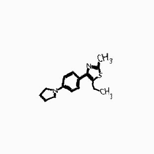 CCc1sc(C)nc1-c1ccc(N2CCCC2)cc1